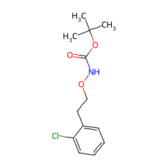 CC(C)(C)OC(=O)NOCCc1ccccc1Cl